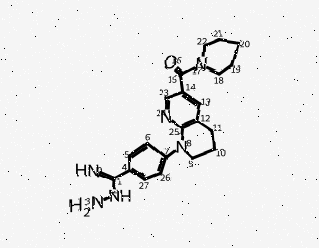 N=C(NN)c1ccc(N2CCCc3cc(C(=O)N4CCCCC4)cnc32)cc1